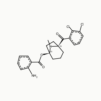 CN1[C@]2(OC(=O)c3ccccc3N)CCC[C@@]1(C(=O)c1cccc(Cl)c1Cl)CC2